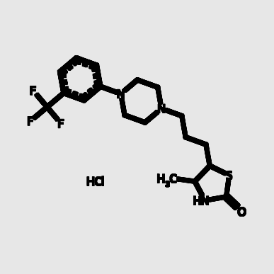 CC1NC(=O)SC1CCCN1CCN(c2cccc(C(F)(F)F)c2)CC1.Cl